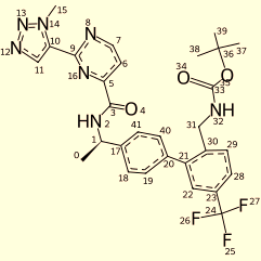 C[C@@H](NC(=O)c1ccnc(-c2cnnn2C)n1)c1ccc(-c2cc(C(F)(F)F)ccc2CNC(=O)OC(C)(C)C)cc1